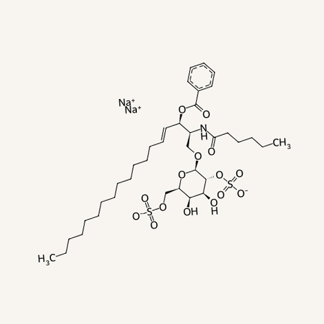 CCCCCCCCCCCCC/C=C/[C@@H](OC(=O)c1ccccc1)[C@H](CO[C@@H]1O[C@H](COS(=O)(=O)[O-])[C@H](O)[C@H](O)[C@H]1OS(=O)(=O)[O-])NC(=O)CCCCC.[Na+].[Na+]